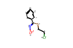 O/N=C(\SCCCl)c1ccccc1